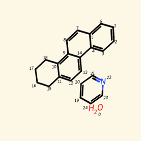 O.c1ccc2c(c1)ccc1c3c(ccc12)CCCC3.c1ccncc1